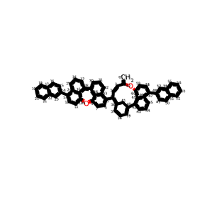 C=C1/C=C\C(c2ccc3oc4ccc(-c5ccc6ccccc6c5)c5cccc(c6cccc2c36)c45)=C2\C=CC=C(C2)c2cccc3c(-c4ccc5ccccc5c4)ccc(c23)O1